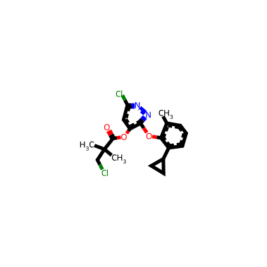 Cc1cccc(C2CC2)c1Oc1nnc(Cl)cc1OC(=O)C(C)(C)CCl